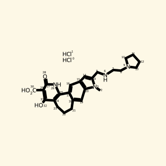 Cl.Cl.Cn1c(CNCCN2CCCC2)cc2cc3c(cc21)CCCc1c-3[nH]c(=O)c(C(=O)O)c1O